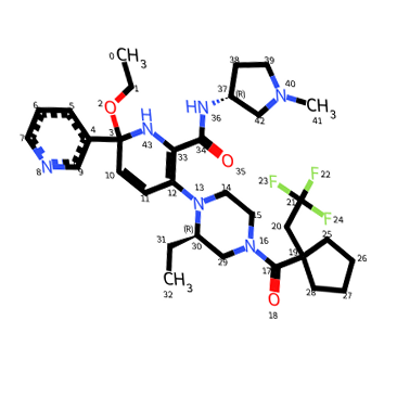 CCOC1(c2cccnc2)C=CC(N2CCN(C(=O)C3(CC(F)(F)F)CCCC3)C[C@H]2CC)=C(C(=O)N[C@@H]2CCN(C)C2)N1